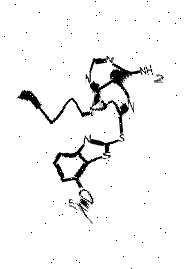 C#CCCCn1c(Sc2nc3cccc(OCC)c3s2)nc2c(N)ncnc21